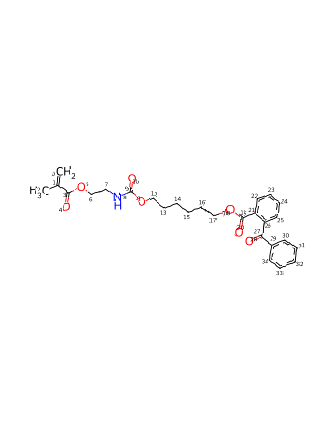 C=C(C)C(=O)OCCNC(=O)OCCCCCCOC(=O)c1ccccc1C(=O)c1ccccc1